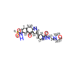 CS(=O)(=O)Nc1ccc2ccc3ncc(-c4cccc(C(=O)NCCN5CCOCC5)c4)cc3c(=O)c2c1